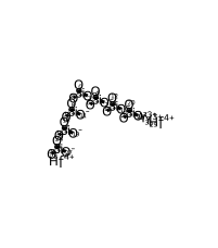 O=[Si]([O-])[O-].O=[Si]([O-])[O-].O=[Si]([O-])[O-].O=[Si]([O-])[O-].O=[Si]([O-])[O-].O=[Si]([O-])[O-].O=[Si]([O-])[O-].[Hf+4].[Hf+4].[Y+3].[Y+3]